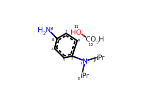 CC(C)N(c1ccc(N)cc1)C(C)C.O=C(O)O